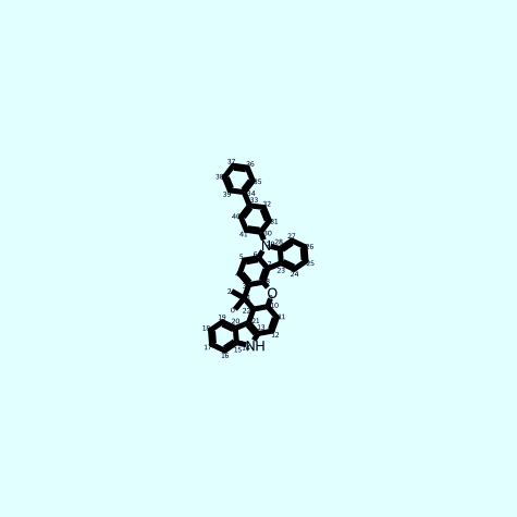 CC1(C)c2ccc3c(c2OC2C=Cc4[nH]c5ccccc5c4C21)c1ccccc1n3-c1ccc(-c2ccccc2)cc1